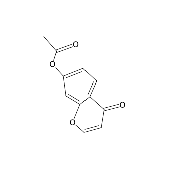 CC(=O)Oc1ccc2c(=O)ccoc2c1